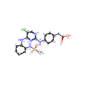 CS(=O)(=O)Nc1ccccc1Nc1nc(Nc2ccc(CC(=O)O)cc2)ncc1Cl